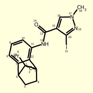 CC(C)C12CC13CCC2c1cccc(NC(=O)c2cn(C)nc2I)c13